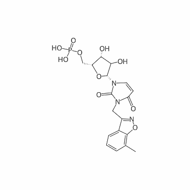 Cc1cccc2c(Cn3c(=O)ccn([C@@H]4O[C@H](COP(=O)(O)O)[C@H](O)C4O)c3=O)noc12